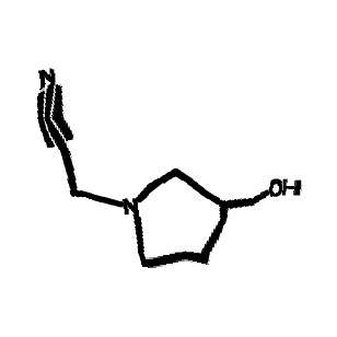 N#CCN1CCC(O)C1